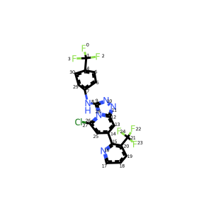 FC(F)(F)c1ccc(Nc2nnc3cc(-c4ncccc4C(F)(F)F)cc(Cl)n23)cc1